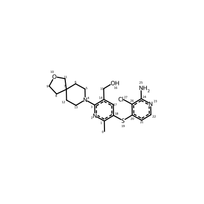 Cc1nc(N2CCC3(CCOC3)CC2)c(CO)cc1Sc1ccnc(N)c1Cl